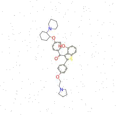 O=C(c1ccc(OC2CCCCC2N2CCCCC2)cc1)c1c(-c2ccc(OCCN3CCCC3)cc2)sc2cccc(O)c12